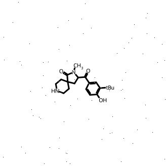 CN1C(=O)C2(CCNCC2)CC1C(=O)c1ccc(O)c(C(C)(C)C)c1